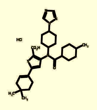 CC1CCC(C(=O)N(c2cc(C3=CCC(C)(C)CC3)sc2C(=O)O)C2CCC(n3cncn3)CC2)CC1.Cl